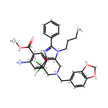 CCCCn1c(-c2ccccc2)nc(C(F)(F)F)c1CN(Cc1ccc(C(=O)OC)c(N)c1)Cc1ccc2c(c1)OCO2